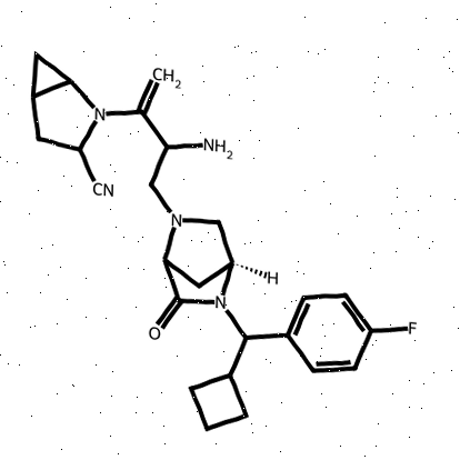 C=C(C(N)CN1C[C@@H]2CC1C(=O)N2C(c1ccc(F)cc1)C1CCC1)N1C(C#N)CC2CC21